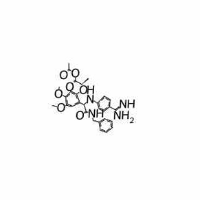 COc1cc(O[C@H](C)C(=O)OC(C)=O)c(C(Nc2ccc(C(=N)N)cc2)C(=O)NCc2ccccc2)cc1OC